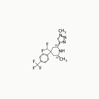 C[C@H]1CC(c2ccc(C(F)(F)F)cc2)(C(F)F)C[C@@H](c2cn(C)nn2)N1